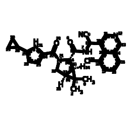 CC1(C)[C@@H]2[C@@H](C(=O)NC(C#N)c3cncc4cccc(Cl)c34)N(C(=O)c3ccc(C4CC4)[nH]3)C[C@@H]21